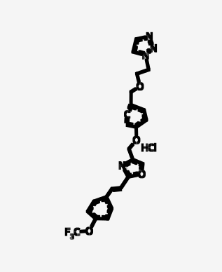 Cl.FC(F)(F)Oc1ccc(/C=C/c2nc(COc3ccc(COCCn4ccnn4)cc3)co2)cc1